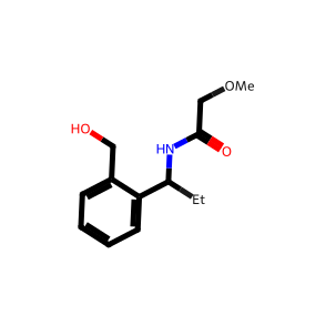 CCC(NC(=O)COC)c1ccccc1CO